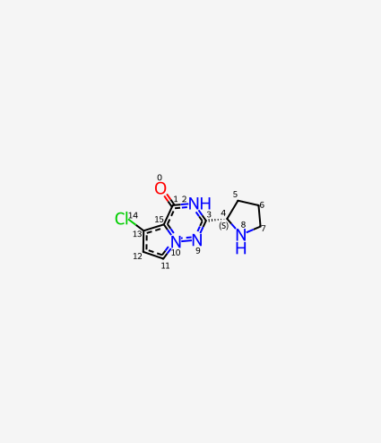 O=c1[nH]c([C@@H]2CCCN2)nn2ccc(Cl)c12